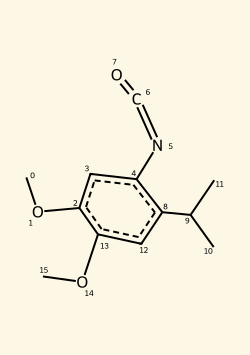 COc1cc(N=C=O)c(C(C)C)cc1OC